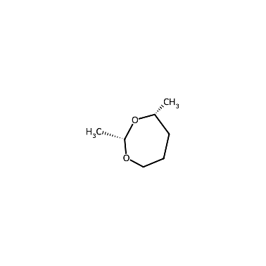 C[C@H]1OCCC[C@@H](C)O1